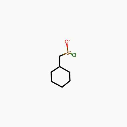 [O-][S+](Cl)CC1CCCCC1